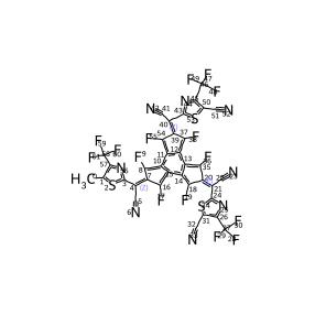 Cc1sc(/C(C#N)=C2\C(F)=c3c4c(c5c(c3=C2F)=C(F)/C(=C(/C#N)c2nc(C(F)(F)F)c(C#N)s2)C=5F)=C(F)/C(=C(/C#N)c2nc(C(F)(F)F)c(C#N)s2)C=4F)nc1C(F)(F)F